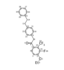 CCOc1ccc(C(=O)Cc2ccc(CCc3ccccc3)cc2)c(C(F)(F)F)c1F